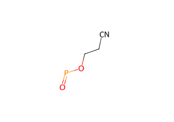 N#CCCOP=O